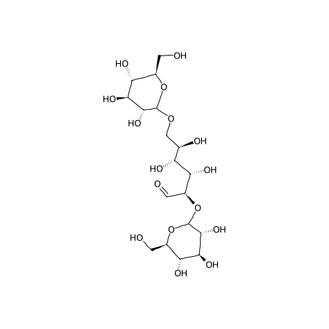 O=C[C@H](OC1O[C@H](CO)[C@@H](O)[C@H](O)[C@H]1O)[C@@H](O)[C@H](O)[C@H](O)COC1O[C@H](CO)[C@@H](O)[C@H](O)[C@H]1O